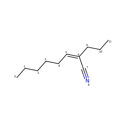 CCCCCC=C(C#N)CCC